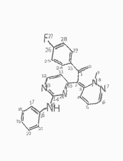 C=C(/C(=C1/C=CC=NN1C)c1ccnc(Nc2ccccc2)n1)c1ccc(F)cc1